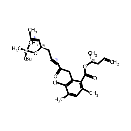 C=CC[C@@H](C)OC(=O)c1c(C)cc(C)c(Cl)c1CC(=O)/C=C/C[C@H](/C=C/C)O[Si](C)(C)C(C)(C)C